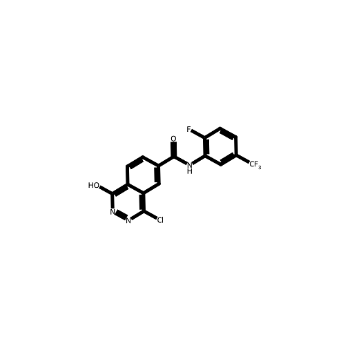 O=C(Nc1cc(C(F)(F)F)ccc1F)c1ccc2c(O)nnc(Cl)c2c1